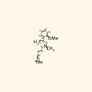 C=C(CN(C)CC=CC#CC(C)(C)C)c1ccccc1OC